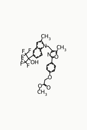 COC(=O)COc1ccc(-c2nc(Cn3c(C)cc4cc(C(O)(C(F)(F)F)C(F)(F)F)ccc43)c(C)o2)cc1